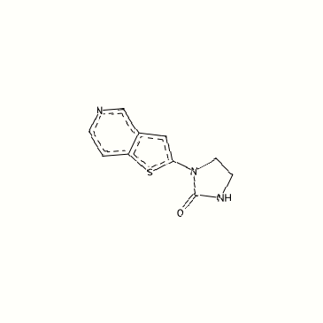 O=C1NCCN1c1cc2cnccc2s1